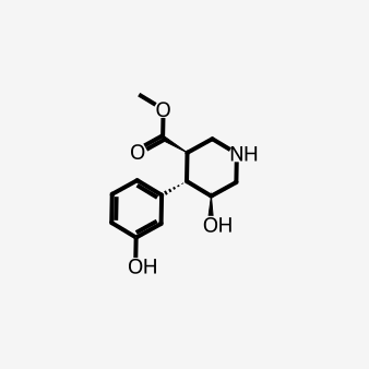 COC(=O)[C@H]1CNC[C@@H](O)[C@@H]1c1cccc(O)c1